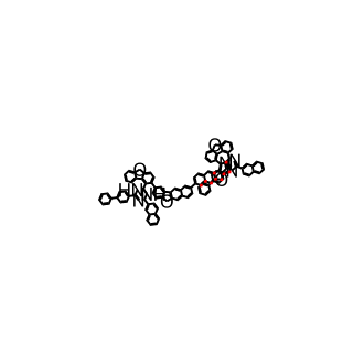 c1ccc(-c2ccc(C3=NC(c4ccc5ccccc5c4)NC(c4c(-c5ccc6oc7cc8ccc(-c9ccc%10cc%11c(cc%10c9)oc9cccc(-c%10cccc%12oc%13cccc(-c%14nc(-c%15ccc(-c%16ccccc%16)cc%15)nc(-c%15ccc%16ccccc%16c%15)n%14)c%13c%10%12)c9%11)cc8cc7c6c5)ccc5oc6ccccc6c45)N3)cc2)cc1